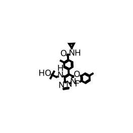 Cc1ccc(F)c(Oc2nn3ccnc3c(NCC(C)(C)O)c2-c2ccc(C(=O)NC3CC3)c(C)c2)c1